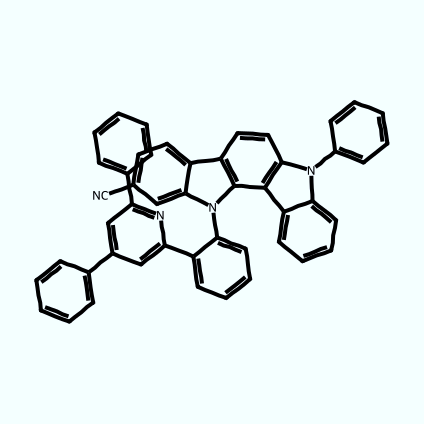 N#Cc1ccc2c3ccc4c(c5ccccc5n4-c4ccccc4)c3n(-c3ccccc3-c3cc(-c4ccccc4)cc(-c4ccccc4)n3)c2c1